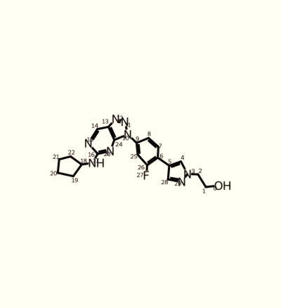 OCCn1cc(-c2ccc(-n3nnc4cnc(NC5CCCC5)nc43)cc2F)cn1